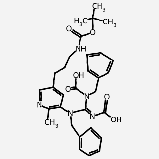 Cc1ncc(CCCNC(=O)OC(C)(C)C)cc1N(Cc1ccccc1)C(=NC(=O)O)N(Cc1ccccc1)C(=O)O